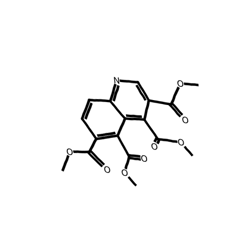 COC(=O)c1ccc2ncc(C(=O)OC)c(C(=O)OC)c2c1C(=O)OC